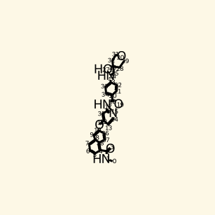 CNC(=O)c1cccc2cc(Oc3ccnc(NC(=O)c4ccc(NCC5(O)CCOCC5)cc4)c3)ccc12